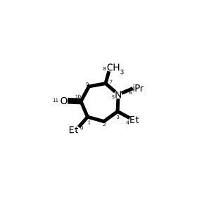 CCC1CC(CC)N(C(C)C)C(C)CC1=O